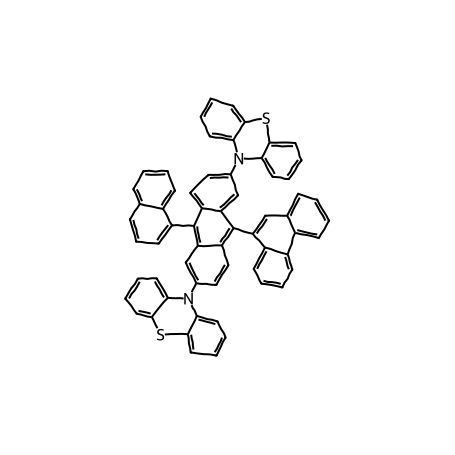 c1ccc2c(c1)Sc1ccccc1N2c1ccc2c(-c3cc4ccccc4c4ccccc34)c3cc(N4c5ccccc5Sc5ccccc54)ccc3c(-c3cccc4ccccc34)c2c1